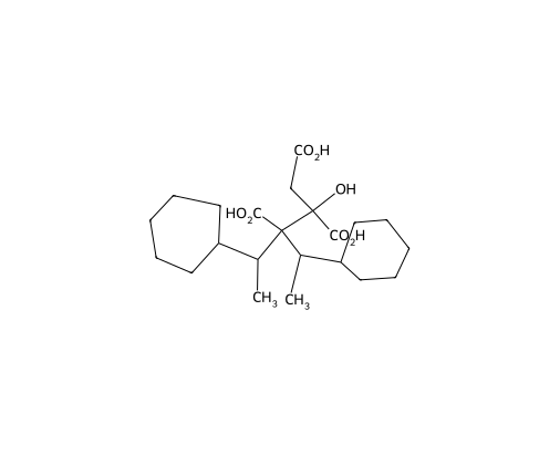 CC(C1CCCCC1)C(C(=O)O)(C(C)C1CCCCC1)C(O)(CC(=O)O)C(=O)O